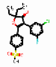 CCC1(CC)OC(c2ccc(S(C)(=O)=O)cc2)=C(c2cc(F)cc(Cl)c2)C1=O